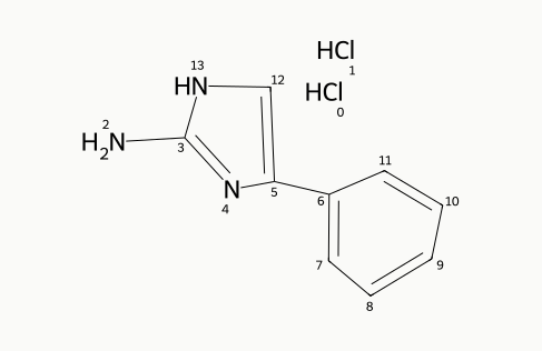 Cl.Cl.Nc1nc(-c2ccccc2)c[nH]1